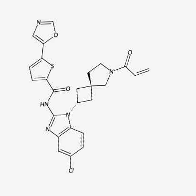 C=CC(=O)N1CC[C@]2(C1)C[C@@H](n1c(NC(=O)c3ccc(-c4cnco4)s3)nc3cc(Cl)ccc31)C2